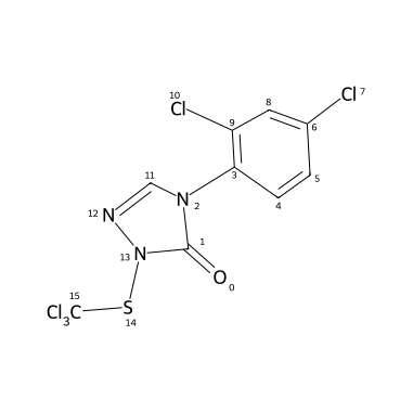 O=c1n(-c2ccc(Cl)cc2Cl)cnn1SC(Cl)(Cl)Cl